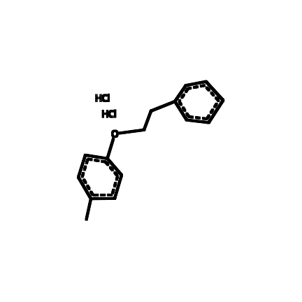 Cc1ccc(OCCc2ccccc2)cc1.Cl.Cl